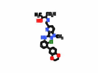 CC(O)C(N=Cc1ccc2c(n1)c(Nc1cccc(-c3ccc4c(c3)OCCO4)c1Cl)nn2C)C(=O)O